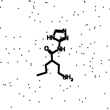 CCCC(CCN)C(=O)Nc1nnc[nH]1